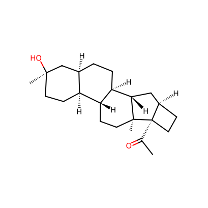 CC(=O)[C@@]12CC[C@@H]1C[C@H]1[C@@H]3CC[C@@H]4C[C@](C)(O)CC[C@@H]4[C@H]3CC[C@@]12C